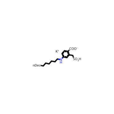 CCCCCCCCCCCCCCCCNc1ccc(C(=O)[O-])c(CS(=O)(=O)O)c1.[K+]